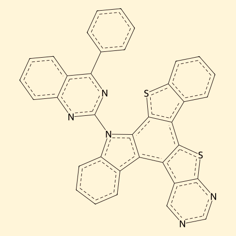 c1ccc(-c2nc(-n3c4ccccc4c4c5c6cncnc6sc5c5c6ccccc6sc5c43)nc3ccccc23)cc1